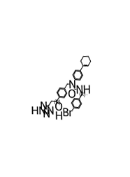 C[C@@H](NC(=O)N(Cc1ccc([C@H](O)Cc2nn[nH]n2)cc1)c1ccc(C2=CCCCC2)cc1)c1ccc(Br)cc1